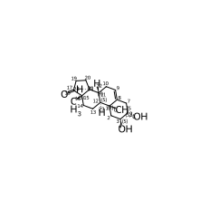 C[C@]12C[C@H](O)[C@@H](O)CC1=CC[C@@H]1[C@@H]2CC[C@]2(C)C(=O)CC[C@@H]12